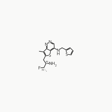 Cc1c(C[C@@H](N)[C@H](C)F)sc2c(NCc3cccs3)cnnc12